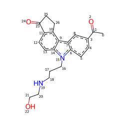 CC(=O)c1ccc2c(c1)c1c3c(ccc1n2CCCNCCO)C(=O)CC3